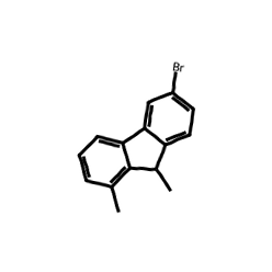 Cc1cccc2c1C(C)c1ccc(Br)cc1-2